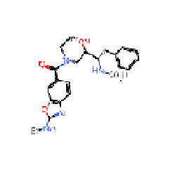 CCNc1nc2ccc(C(=O)N(CC(C)C)C[C@@H](O)[C@H](Cc3ccccc3)NC(=O)O)cc2o1